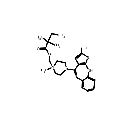 CCC(C)(C)C(=O)OC[N+]1(C)CCN(C2=Nc3ccccc3Nc3sc(C)cc32)CC1